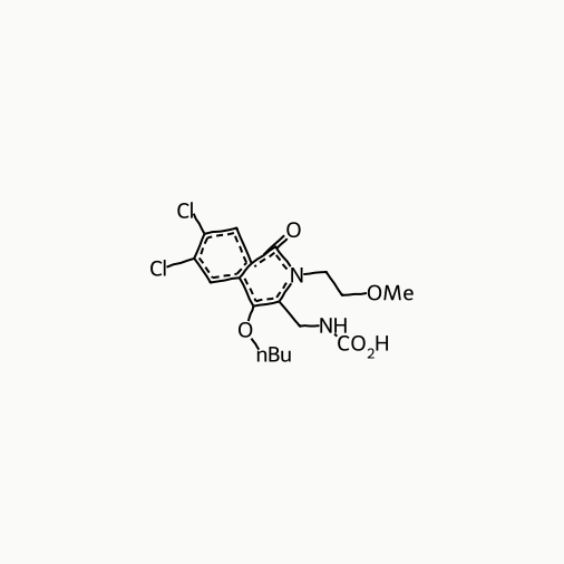 CCCCOc1c(CNC(=O)O)n(CCOC)c(=O)c2cc(Cl)c(Cl)cc12